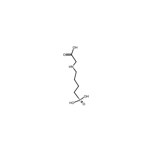 O=C(O)CNCCCCP(=O)(O)O